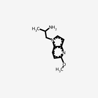 COc1ccc2c(ccn2CC(C)N)n1